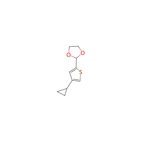 c1sc(C2OCCO2)cc1C1CC1